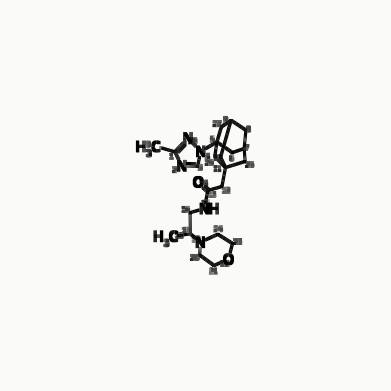 Cc1ncn(C23CC4CC(CC(CC(=O)NCC(C)N5CCOCC5)(C4)C2)C3)n1